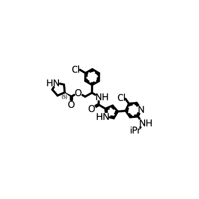 CC(C)Nc1cc(-c2c[nH]c(C(=O)NC(COC(=O)[C@H]3CCNC3)c3cccc(Cl)c3)c2)c(Cl)cn1